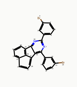 Brc1cccc(-c2nc(-c3cccc(Br)c3)c3c(n2)-c2cccc4cccc-3c24)c1